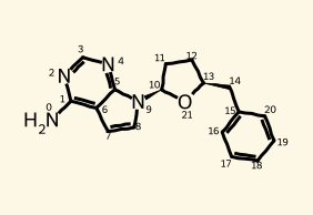 Nc1ncnc2c1ccn2[C@H]1CC[C@@H](Cc2ccccc2)O1